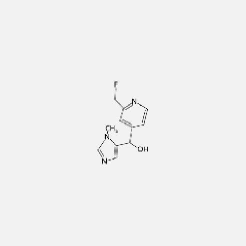 Cn1cncc1C(O)c1ccnc(CF)c1